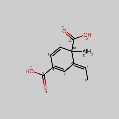 CC=C1C=C(C(=O)O)C=C[C]1([AlH2])C(=O)O